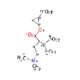 CCCCCCCCC1CC1OC(=O)C(CCN(C)C)C(CCCCCCCC)CCCCCCCC